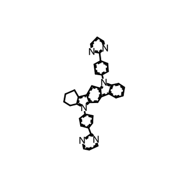 c1cnc(-c2ccc(-n3c4c(c5cc6c(cc53)c3ccccc3n6-c3ccc(-c5ncccn5)cc3)CCCC4)cc2)nc1